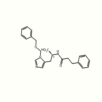 O=C(CCc1ccccc1)N[C@@H](Cc1cncn1COCc1ccccc1)C(=O)O